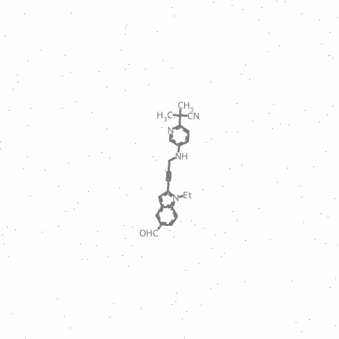 CCn1c(C#CCNc2ccc(C(C)(C)C#N)nc2)cc2cc(C=O)ccc21